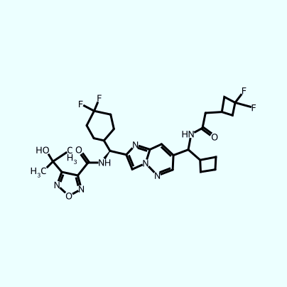 CC(C)(O)c1nonc1C(=O)N[C@H](c1cn2ncc(C(NC(=O)CC3CC(F)(F)C3)C3CCC3)cc2n1)C1CCC(F)(F)CC1